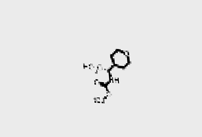 CC(C)(C)OC(=O)N[C@H](C(=O)O)C1CCOCC1